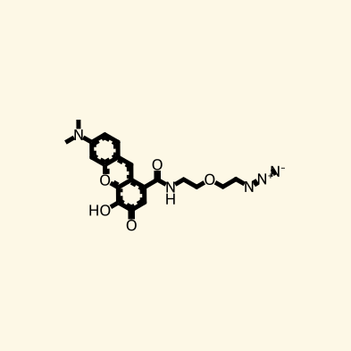 CN(C)c1ccc2cc3c(C(=O)NCCOCCN=[N+]=[N-])cc(=O)c(O)c-3oc2c1